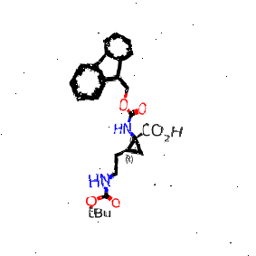 CC(C)(C)OC(=O)NCC[C@@H]1C[C@]1(NC(=O)OCC1c2ccccc2-c2ccccc21)C(=O)O